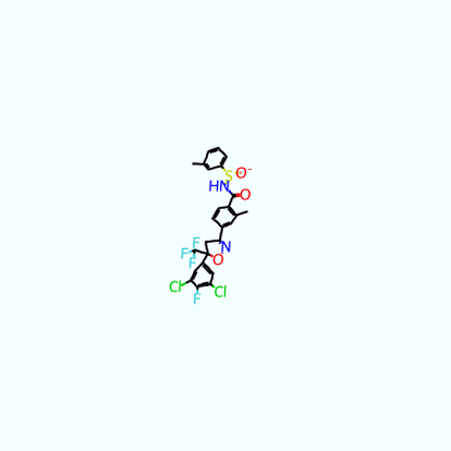 Cc1cccc([S+]([O-])NC(=O)c2ccc(C3=NOC(c4cc(Cl)c(F)c(Cl)c4)(C(F)(F)F)C3)cc2C)c1